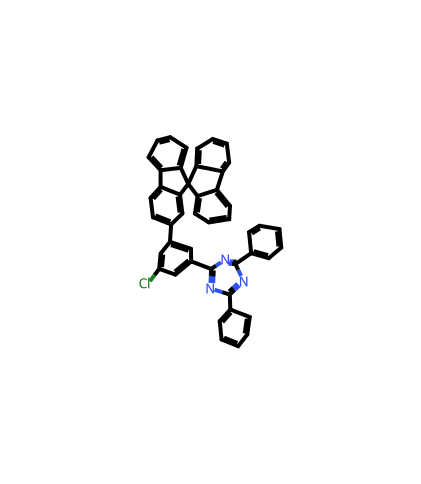 Clc1cc(-c2ccc3c(c2)C2(c4ccccc4-c4ccccc42)c2ccccc2-3)cc(-c2nc(-c3ccccc3)nc(-c3ccccc3)n2)c1